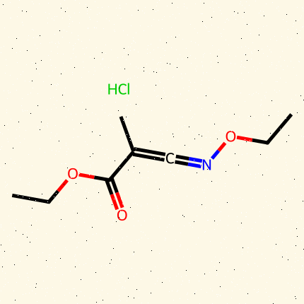 CCON=C=C(C)C(=O)OCC.Cl